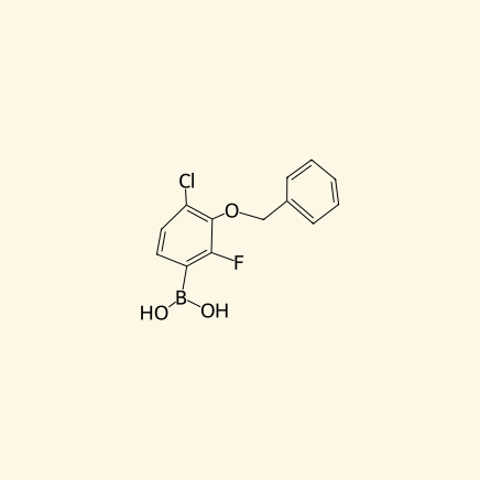 OB(O)c1ccc(Cl)c(OCc2ccccc2)c1F